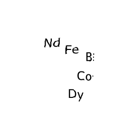 [B].[Co].[Dy].[Fe].[Nd]